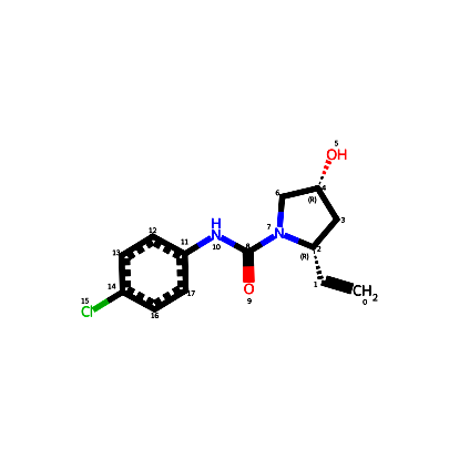 C=C[C@H]1C[C@@H](O)CN1C(=O)Nc1ccc(Cl)cc1